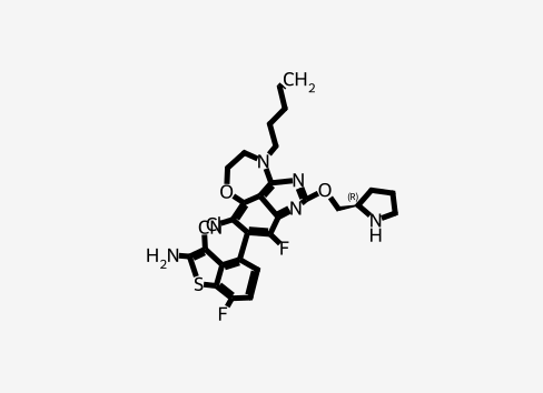 C=CCCCN1CCOc2c(Cl)c(-c3ccc(F)c4sc(N)c(C#N)c34)c(F)c3nc(OC[C@H]4CCCN4)nc1c23